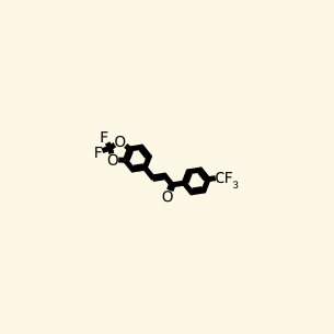 O=C(/C=C/c1ccc2c(c1)OC(F)(F)O2)c1ccc(C(F)(F)F)cc1